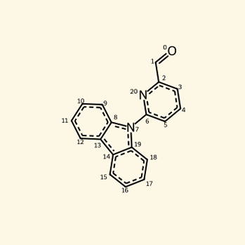 O=Cc1cccc(-n2c3ccccc3c3ccccc32)n1